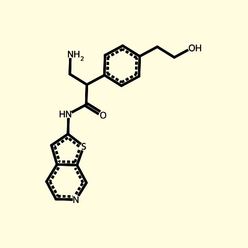 NCC(C(=O)Nc1cc2ccncc2s1)c1ccc(CCO)cc1